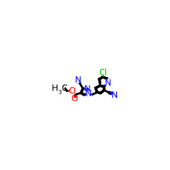 CCOC(=O)c1cn(Cc2cc(C#N)c3ncc(Cl)cc3c2)nc1C#N